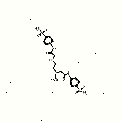 NS(=O)(=O)c1ccc(NC(=O)CNCCN(CC(=O)O)CC(=O)Nc2ccc(S(N)(=O)=O)cc2)cc1